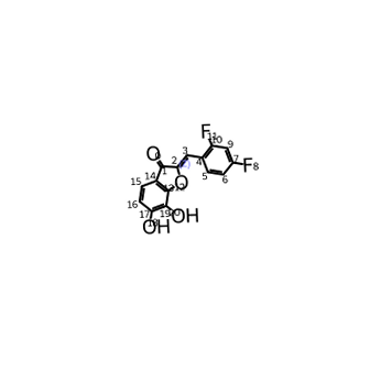 O=C1/C(=C/c2ccc(F)cc2F)Oc2c1ccc(O)c2O